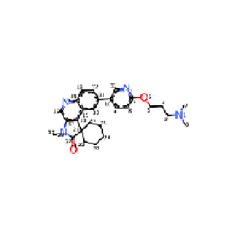 CN(C)CCCOc1ccc(-c2ccc3ncc4c(c3c2)C2(CCCCC2)C(=O)N4C)cn1